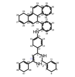 N/C(=C\C(NCC1=CCCC=C1)C1C=CC(Nc2ccccc2C2C=C3C=CCCC3=C3C=Cc4ccccc4C32)=CC1)C1=CC=CCC1